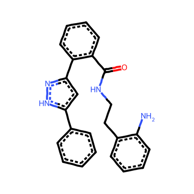 Nc1ccccc1CCNC(=O)c1ccccc1-c1cc(-c2ccccc2)[nH]n1